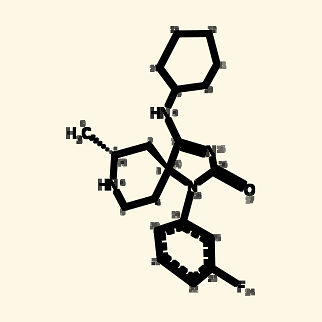 C[C@@H]1C[C@@]2(CCN1)C(NC1CCCCC1)=NC(=O)N2c1cccc(F)c1